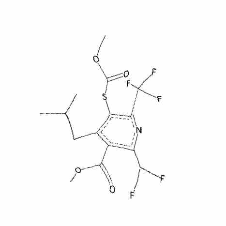 COC(=O)Sc1c(C(F)(F)F)nc(C(F)F)c(C(=O)OC)c1CC(C)C